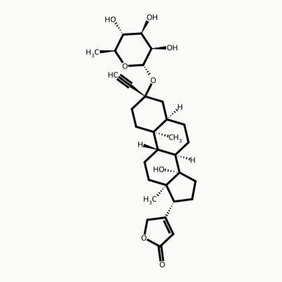 C#C[C@]1(O[C@@H]2O[C@@H](C)[C@H](O)[C@@H](O)[C@H]2O)CC[C@@]2(C)[C@H](CC[C@@H]3[C@@H]2CC[C@]2(C)[C@@H](C4=CC(=O)OC4)CC[C@]32O)C1